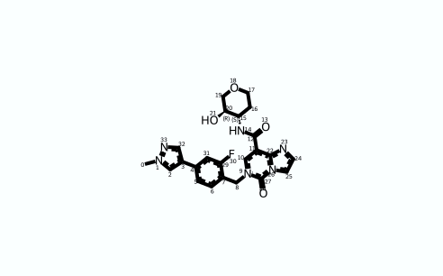 Cn1cc(-c2ccc(Cn3cc(C(=O)N[C@H]4CCOC[C@@H]4O)c4nccn4c3=O)c(F)c2)cn1